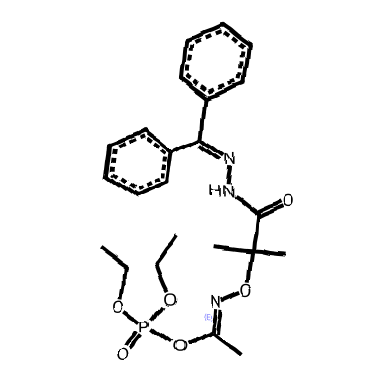 CCOP(=O)(OCC)O/C(C)=N/OC(C)(C)C(=O)NN=C(c1ccccc1)c1ccccc1